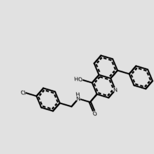 O=C(NCc1ccc(Cl)cc1)c1cnc2c(-c3ccccc3)cccc2c1O